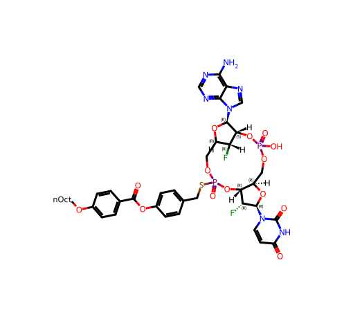 CCCCCCCCOc1ccc(C(=O)Oc2ccc(CSP3(=O)OC[C@H]4O[C@@H](n5cnc6c(N)ncnc65)[C@H](OP(=O)(O)OC[C@H]5O[C@@H](n6ccc(=O)[nH]c6=O)[C@H](F)[C@@H]5O3)[C@@H]4F)cc2)cc1